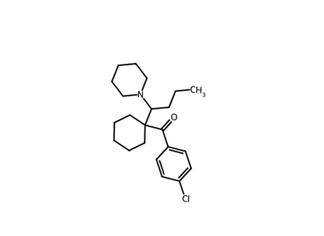 CCCC(N1CCCCC1)C1(C(=O)c2ccc(Cl)cc2)CCCCC1